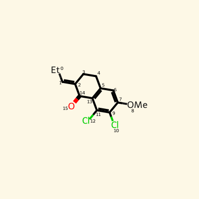 CCC=C1CCc2cc(OC)c(Cl)c(Cl)c2C1=O